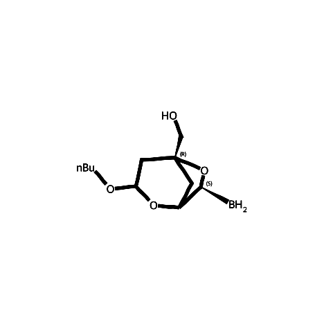 B[C@@H]1O[C@@]2(CO)CC(OCCCC)OC1C2